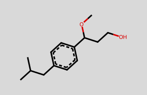 COC(CCO)c1ccc(CC(C)C)cc1